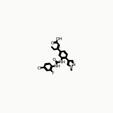 CC/C(=C\C(=O)O)c1ccc(-c2cnn(C)c2)c(NC(=O)Nc2ccc(Cl)cc2F)c1